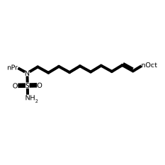 CCCCCCCCC=CCCCCCCCCN(CCC)S(N)(=O)=O